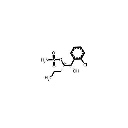 CCC[C@H](OS(N)(=O)=O)[C@@H](O)c1ccccc1Cl